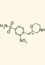 NS(=O)(=O)c1ccc(C[C@@H]2CNCCO2)c([N+](=O)[O-])c1